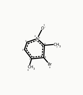 Cc1cc[n+]([O-])c(C)c1Br